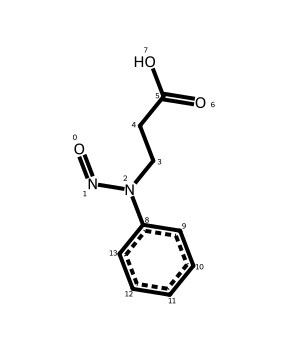 O=NN(CCC(=O)O)c1ccccc1